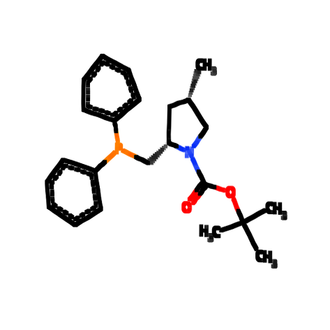 C[C@H]1C[C@@H](CP(c2ccccc2)c2ccccc2)N(C(=O)OC(C)(C)C)C1